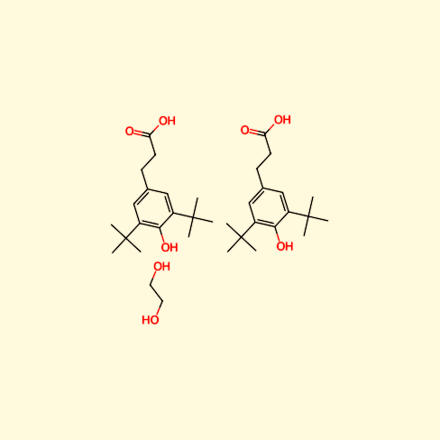 CC(C)(C)c1cc(CCC(=O)O)cc(C(C)(C)C)c1O.CC(C)(C)c1cc(CCC(=O)O)cc(C(C)(C)C)c1O.OCCO